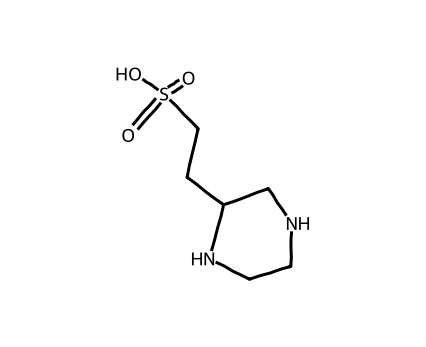 O=S(=O)(O)CCC1CNCCN1